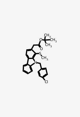 CSc1c(CC(=O)OC(C)(C)C)ccc2c3ccccc3n(Cc3ccc(Cl)cc3)c12